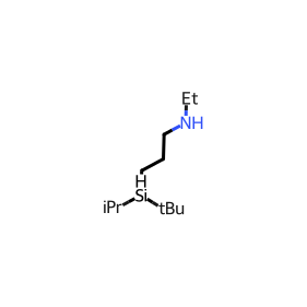 CCNCCC[SiH](C(C)C)C(C)(C)C